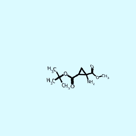 COC(=O)C1(N)CC1C(=O)OC(C)(C)C